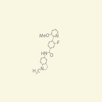 COc1cccnc1-c1ccc(C(=O)Nc2ccc3c(c2)CCN3C)cc1F